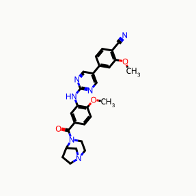 COc1cc(-c2cnc(Nc3cc(C(=O)N4CCN5CCC4C5)ccc3OC)nc2)ccc1C#N